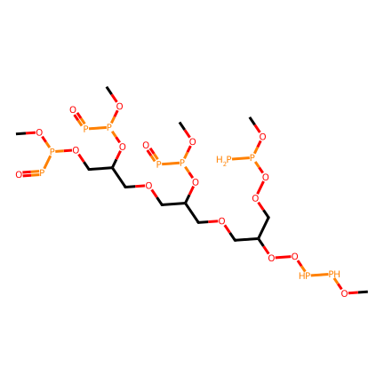 COPPOOC(COCC(COCC(COP(OC)P=O)OP(OC)P=O)OP(OC)P=O)COOP(P)OC